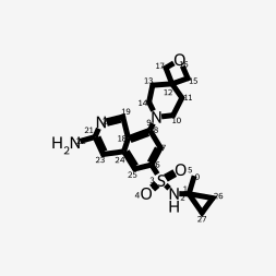 CC1(NS(=O)(=O)c2cc(N3CCC4(CC3)COC4)c3cnc(N)cc3c2)CC1